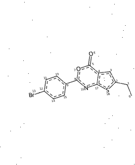 CCc1cc2c(=O)oc(-c3ccc(Br)cc3)nc2s1